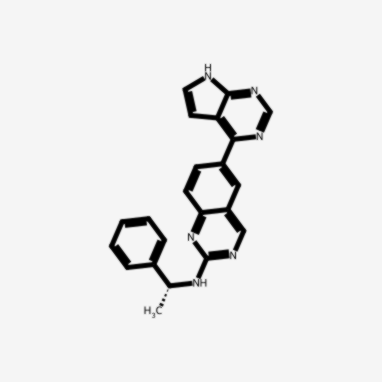 C[C@@H](Nc1ncc2cc(-c3ncnc4[nH]ccc34)ccc2n1)c1ccccc1